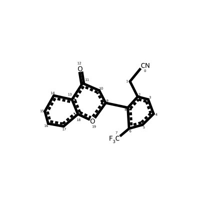 N#CCc1cccc(C(F)(F)F)c1-c1cc(=O)c2ccccc2o1